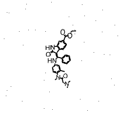 CCOC(=O)c1ccc2c(c1)NC(=O)/C2=C(\Nc1ccc(N(C)C(=O)CN(C)C)c(C)c1)c1ccccc1